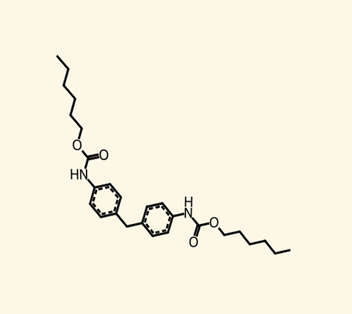 CCCCCCOC(=O)Nc1ccc(Cc2ccc(NC(=O)OCCCCCC)cc2)cc1